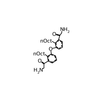 CCCCCCCCc1c(Oc2cccc(C(=O)CN)c2CCCCCCCC)cccc1C(=O)CN